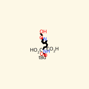 CC(C)(C)OC(=O)N[C@@H](C[C@H](Cc1ccc(OCCO)nc1)C(=O)O)C(=O)O